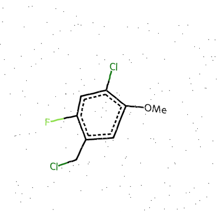 COc1cc(CCl)c(F)cc1Cl